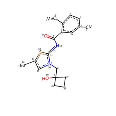 COc1ccc(C#N)cc1C(=O)/N=c1\sc(C(C)(C)C)cn1CC1(O)CCC1